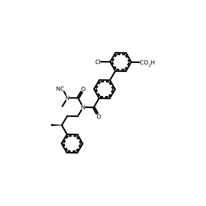 C[C@@H](CCN(C(=O)c1ccc(-c2cc(C(=O)O)ccc2Cl)cc1)C(=O)N(C)C#N)c1ccccc1